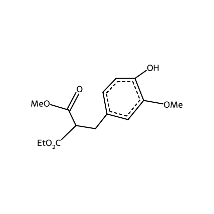 CCOC(=O)C(Cc1ccc(O)c(OC)c1)C(=O)OC